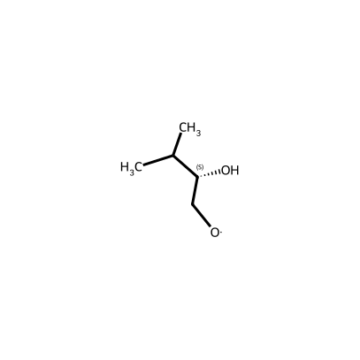 CC(C)[C@H](O)C[O]